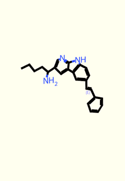 CCCCC(N)c1cnc2[nH]c3ccc(/C=C/c4ccccc4)cc3c2c1